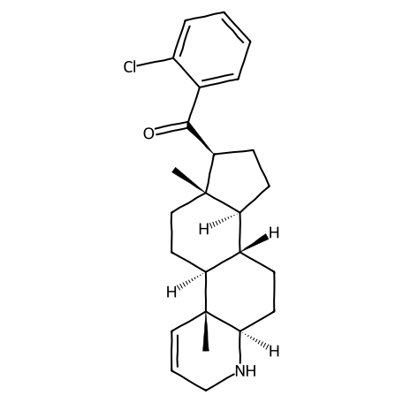 C[C@]12C=CCN[C@@H]1CC[C@@H]1[C@@H]2CC[C@]2(C)[C@@H](C(=O)c3ccccc3Cl)CC[C@@H]12